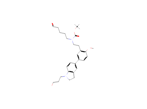 COc1ccc(-c2ccc3c(c2)CCN3CCCO)cc1CCN(CCCCC=O)C(=O)OC(C)(C)C